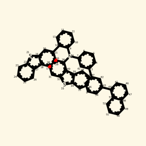 c1cc(-c2cccc(N(c3ccccc3-c3ccc4c(c3)sc3ccccc34)c3cccc4sc5ccccc5c34)c2)cc(-c2cccc3ccccc23)c1